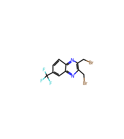 FC(F)(F)c1ccc2nc(CBr)c(CBr)nc2c1